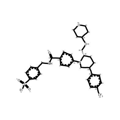 CCS(=O)(=O)c1ccc(CNC(=O)c2ccc(N3CC(c4ccc(C(F)(F)F)cc4)CC[C@H]3COC3CCOCC3)cc2)cc1